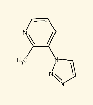 Cc1ncccc1-n1ccnn1